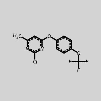 Cc1cc(Oc2ccc(OC(F)(F)F)cc2)nc(Cl)n1